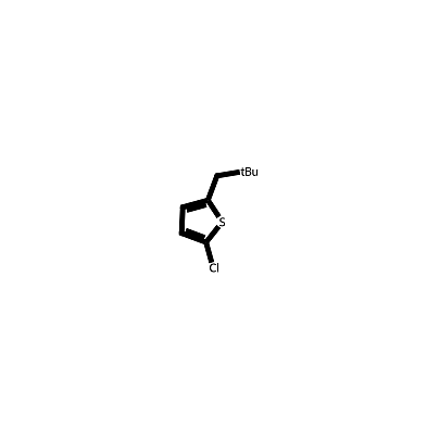 CC(C)(C)Cc1ccc(Cl)s1